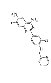 Nc1cc2c(N)nc(-c3ccc(OCc4ccccn4)c(Cl)c3)nc2cc1F